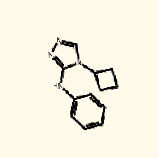 c1ccc(Nc2nncn2C2CCC2)cc1